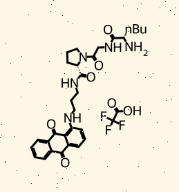 CCCC[C@H](N)C(=O)NCC(=O)N1CCC[C@H]1C(=O)NCCCNc1cccc2c1C(=O)c1ccccc1C2=O.O=C(O)C(F)(F)F